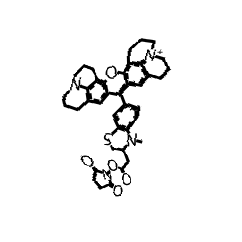 CN1c2ccc(C3=c4cc5c6c(c4Oc4c3cc3c7c4CCCN7CCC3)CCC[N+]=6CCC5)cc2SCC1CC(=O)ON1C(=O)CCC1=O